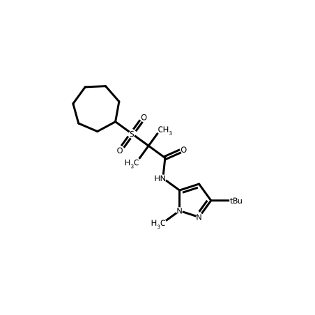 Cn1nc(C(C)(C)C)cc1NC(=O)C(C)(C)S(=O)(=O)C1CCCCCC1